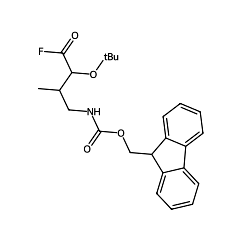 CC(CNC(=O)OCC1c2ccccc2-c2ccccc21)C(OC(C)(C)C)C(=O)F